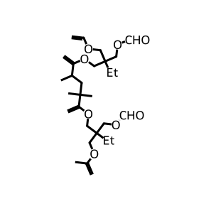 C=COCC(CC)(COC=O)COC(=C)C(C)CC(C)(C)C(=C)OCC(CC)(COC=O)COC(=C)C